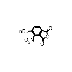 CCCCc1ccc2c(c1[N+](=O)[O-])C(=O)OC2=O